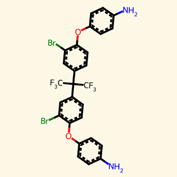 Nc1ccc(Oc2ccc(C(c3ccc(Oc4ccc(N)cc4)c(Br)c3)(C(F)(F)F)C(F)(F)F)cc2Br)cc1